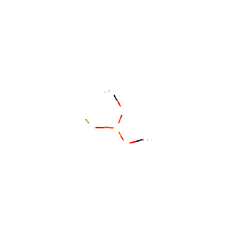 CCCCOP(OCl)OCCCC